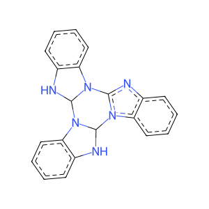 c1ccc2c(c1)NC1N2c2nc3ccccc3n2C2Nc3ccccc3N12